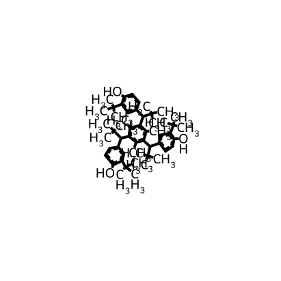 Cc1c(C(c2ccc(O)c(C(C)(C)C)c2)C(C)(C)C)c(C)c(C(c2ccc(O)c(C(C)(C)C)c2)C(C)(C)C)c(C)c1C(c1ccc(O)c(C(C)(C)C)c1)C(C)(C)C